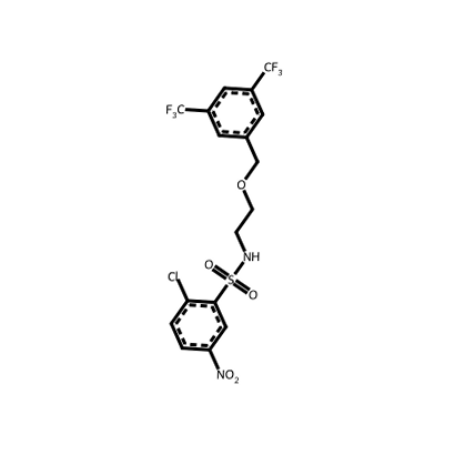 O=[N+]([O-])c1ccc(Cl)c(S(=O)(=O)NCCOCc2cc(C(F)(F)F)cc(C(F)(F)F)c2)c1